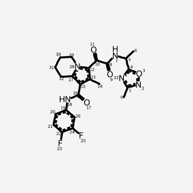 Cc1noc(C(C)NC(=O)C(=O)c2c(C)c(C(=O)Nc3ccc(F)c(F)c3)c3n2CCCC3)n1